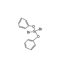 Br[Si](Br)(Oc1ccccc1)Oc1ccccc1